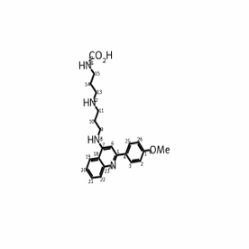 COc1ccc(-c2cc(NCCCNCCCNC(=O)O)c3ccccc3n2)cc1